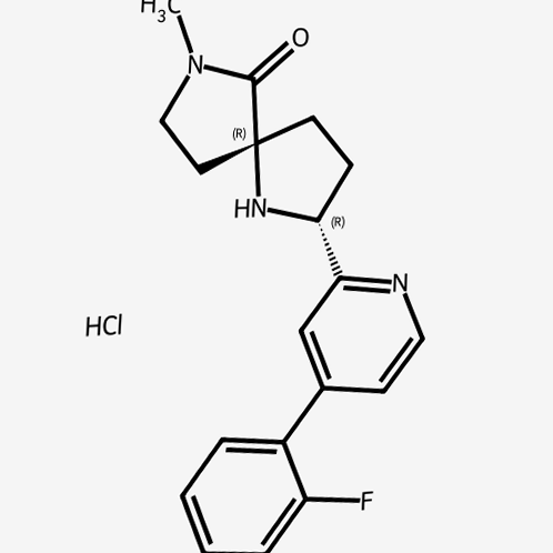 CN1CC[C@]2(CC[C@H](c3cc(-c4ccccc4F)ccn3)N2)C1=O.Cl